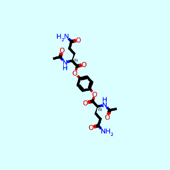 CC(=O)N[C@@H](CCC(N)=O)C(=O)Oc1ccc(OC(=O)[C@H](CCC(N)=O)NC(C)=O)cc1